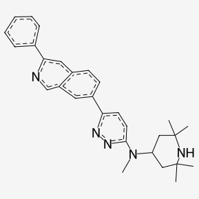 CN(c1ccc(-c2ccc3cc(-c4ccccc4)ncc3c2)nn1)C1CC(C)(C)NC(C)(C)C1